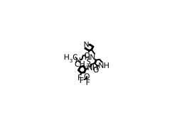 CN(C)CCOc1cnccc1CNC1=C(C(=S)Nc2cccc(F)c2OC(F)F)C(=O)NCC1